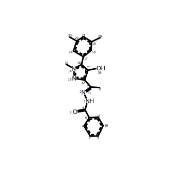 C/C(=N\NC(=O)c1ccccc1)c1nn(C)c(-c2cc(C)cc(C)c2)c1O